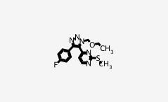 CCOCn1nnc(-c2ccc(F)cc2)c1-c1ccnc(SC)n1